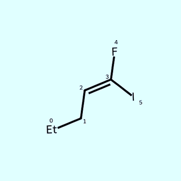 CCC/C=C(/F)I